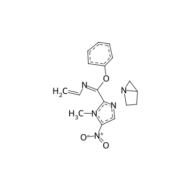 C1CN2CC12.C=CN=C(Oc1ccccc1)c1ncc([N+](=O)[O-])n1C